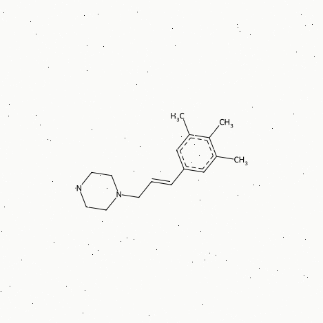 Cc1cc(C=CCN2CC[N]CC2)cc(C)c1C